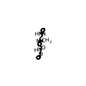 Cn1c(CCc2nc3ccccc3[nH]2)nc2ccc(C(=O)NCCOc3ccccc3)cc21